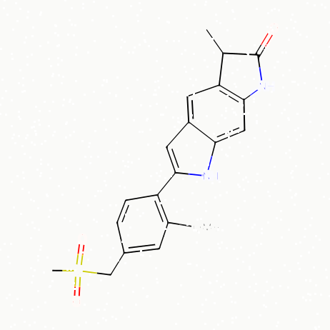 COc1cc(CS(C)(=O)=O)ccc1-c1cc2cc3c(cc2[nH]1)NC(=O)C3C